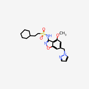 COc1cc(Cn2cccn2)cc2onc(NS(=O)(=O)CCC3CCCCC3)c12